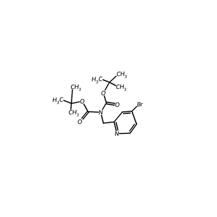 CC(C)(C)OC(=O)N(Cc1cc(Br)ccn1)C(=O)OC(C)(C)C